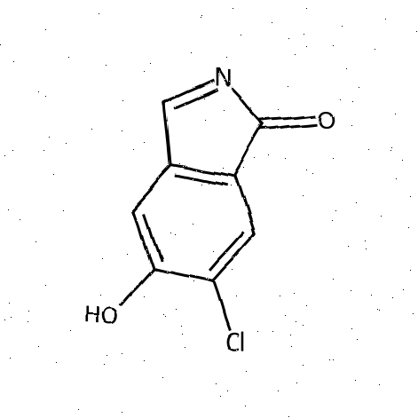 O=C1N=Cc2cc(O)c(Cl)cc21